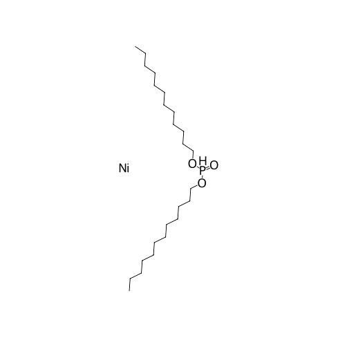 CCCCCCCCCCCCO[PH](=O)OCCCCCCCCCCCC.[Ni]